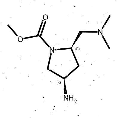 COC(=O)N1C[C@H](N)C[C@@H]1CN(C)C